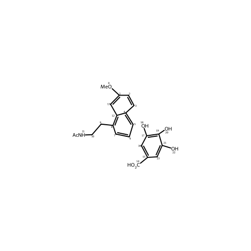 COc1ccc2cccc(CCNC(C)=O)c2c1.O=C(O)c1cc(O)c(O)c(O)c1